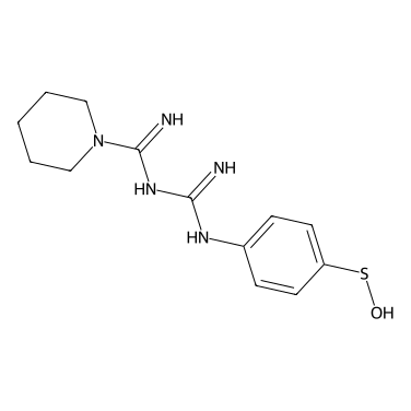 N=C(NC(=N)N1CCCCC1)Nc1ccc(SO)cc1